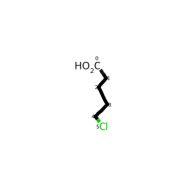 O=C(O)CCCCCl